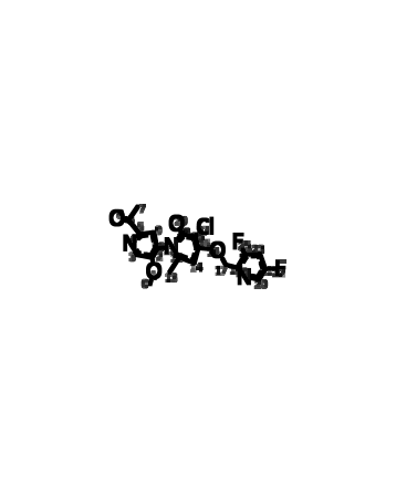 COc1cnc(C(C)=O)cc1-n1c(C)cc(OCc2ncc(F)cc2F)c(Cl)c1=O